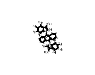 [2H]c1c([2H])c([2H])c2c(c1[2H])c(C(C)(C)C)c([2H])n2-c1c2ccccc2c(-n2c([2H])c(C(C)(C)C)c3c([2H])c([2H])c([2H])c([2H])c32)c2ccccc12